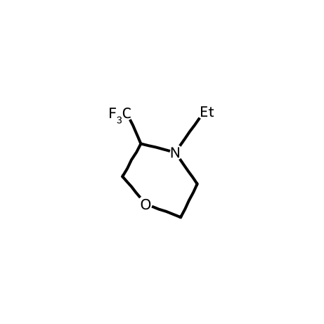 CCN1CCOCC1C(F)(F)F